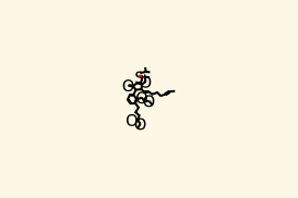 CC#CCCC/C=C/C1C(O[Si](C)(C)C(C)(C)C)CC(=O)C1c1cccc(CCCC(=O)OC)c1OCOC